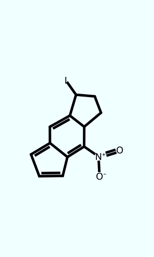 O=[N+]([O-])C1=C2C=CC=C2C=C2C(I)CCC21